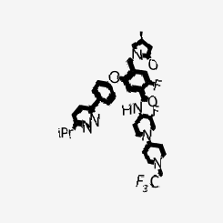 CC(C)c1ccc(-c2ccc(Oc3cc(C(=O)N[C@@H]4CCN(C5CCN(CC(F)(F)F)CC5)C[C@@H]4F)c(F)cc3CN3C[C@@H](C)CC3=O)cc2)nn1